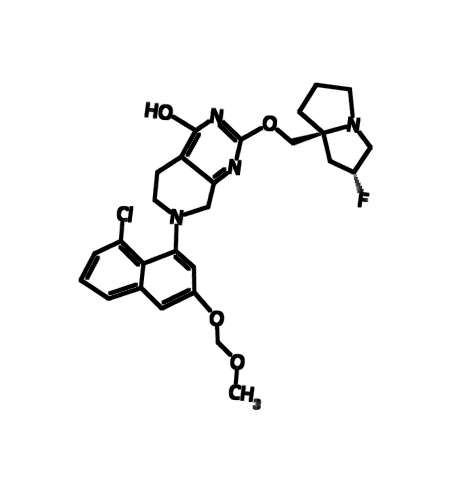 COCOc1cc(N2CCc3c(O)nc(OC[C@@]45CCCN4C[C@H](F)C5)nc3C2)c2c(Cl)cccc2c1